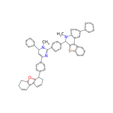 CN1C(c2ccc(C3c4sc5ccccc5c4-c4cc(-c5ccccc5)ccc4N3C)cc2)=NC(c2ccc(C3CC=Cc4c3oc3c4C=CCC3)cc2)=CC1c1ccccc1